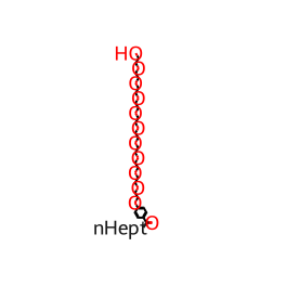 CCCCCCCC(=O)c1ccc(OCCOCCOCCOCCOCCOCCOCCOCCOCCOCCO)cc1